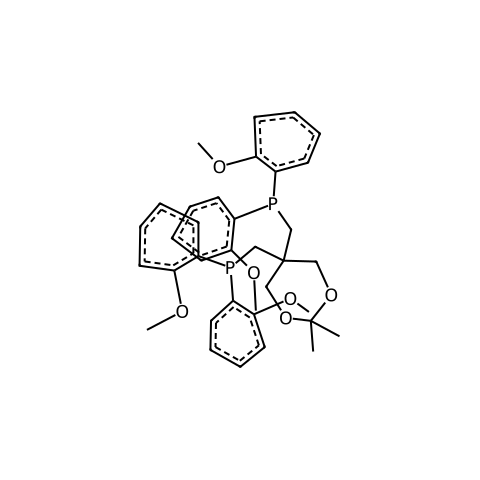 COc1ccccc1P(CC1(CP(c2ccccc2OC)c2ccccc2OC)COC(C)(C)OC1)c1ccccc1OC